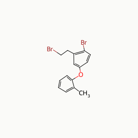 Cc1ccccc1Oc1ccc(Br)c(CCBr)c1